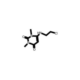 Cn1c(NCCCl)cc(=O)n(C)c1=O